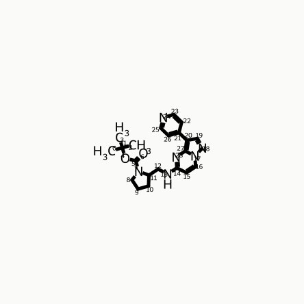 CC(C)(C)OC(=O)N1CCCC1CNc1ccn2ncc(-c3ccncc3)c2n1